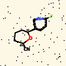 N#C[C@H]1CCC[C@@H](c2ccc(F)nc2)O1